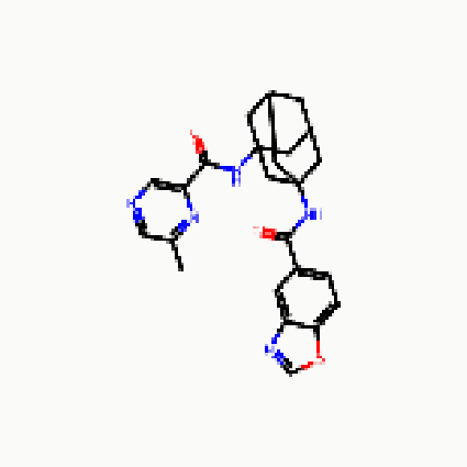 Cc1cncc(C(=O)NC23CC4CC(CC(NC(=O)c5ccc6ocnc6c5)(C4)C2)C3)n1